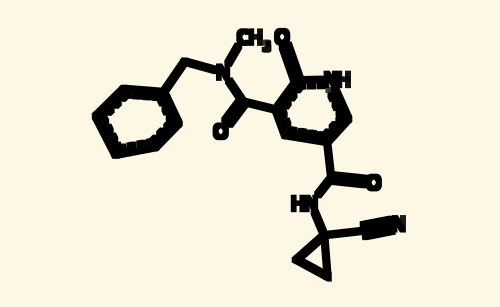 CN(Cc1ccccc1)C(=O)c1cc(C(=O)NC2(C#N)CC2)c[nH]c1=O